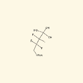 CCCCCCCC(F)(F)C(F)(F)C(O)(O)O